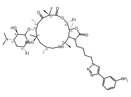 CC[C@@H]1C[C@H](N(C)C)[C@@H](O)C(O[C@@H]2[C@H](C)C(=O)[C@](C)(F)C(=O)O[C@H](CC)[C@@]3(C)OC(=O)N(CCCCn4cc(-c5cccc(N)c5)nn4)C3[C@@H](C)NC[C@H](C)C[C@@]2(C)OC)O1